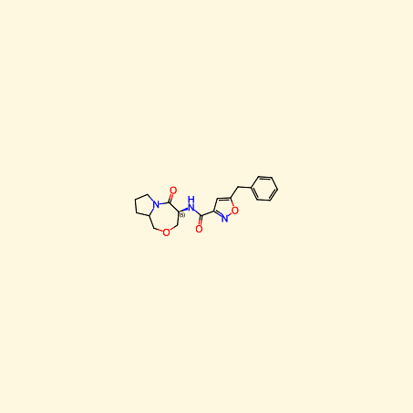 O=C(N[C@H]1COCC2CCCN2C1=O)c1cc(Cc2ccccc2)on1